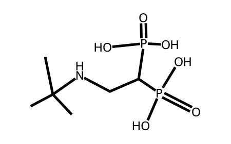 CC(C)(C)NCC(P(=O)(O)O)P(=O)(O)O